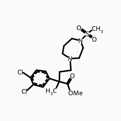 COC(=O)C(C)(CCN1CCCN(S(C)(=O)=O)CC1)c1ccc(Cl)c(Cl)c1